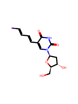 O=c1[nH]c(=O)n([C@H]2C[C@H](O)[C@@H](CO)O2)cc1/C=C/C=C/I